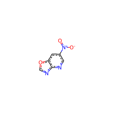 O=[N+]([O-])c1cnc2ncoc2c1